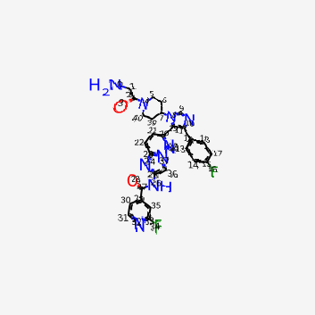 NCC(=O)N1CCC(n2cnc(-c3ccc(F)cc3)c2-c2ccc3nc(NC(=O)c4ccnc(F)c4)cn3n2)CC1